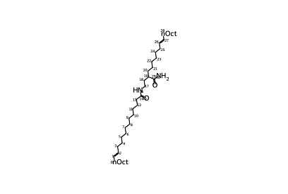 CCCCCCCCC=CCCCCCCCCCCCC(=O)NCCC(CCCCCCC=CCCCCCCCC)C(N)=O